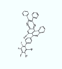 N#Cc1cc2nc(-c3ccccc3)c(-c3ccccc3)nc2c2c1c(-c1ccc(-c3c(F)c(F)c(F)c(F)c3F)cc1)nc1ccccc12